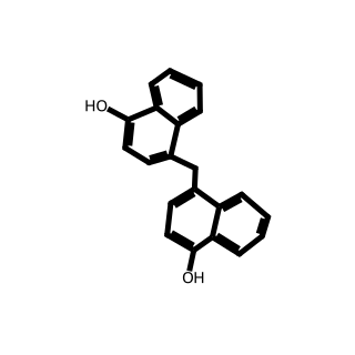 Oc1ccc(Cc2ccc(O)c3ccccc23)c2ccccc12